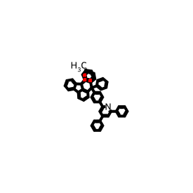 CC1C=CC=C(C23c4ccccc4-c4cccc(c42)C(c2ccccc2)(c2ccc(-c4cc(-c5ccccc5)cc(-c5ccccc5)n4)cc2)c2ccccc23)C1